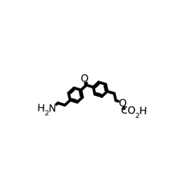 NCCc1ccc(C(=O)c2ccc(CCOC(=O)O)cc2)cc1